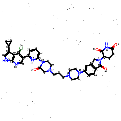 O=C1CCC(N2Cc3cc(N4CCN(CCCN5CCN(c6cccc(-c7cnc8[nH]cc(C9CC9)c8c7Cl)n6)C(=O)C5)CC4)ccc3C2=O)C(=O)N1